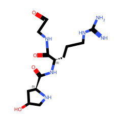 N=C(N)NCCC[C@H](NC(=O)[C@@H]1CC(O)CN1)C(=O)NC[C]=O